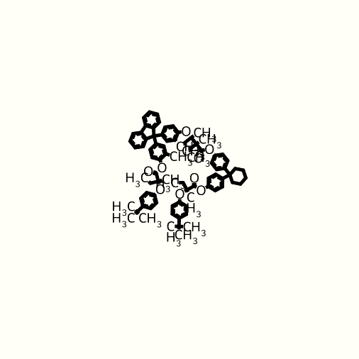 CCC(C)(Oc1ccc(C(C)(C)C)cc1)C(=O)Oc1ccc(C2(c3ccc(OC(=O)C(C)(CC)C(C)(CC)Oc4ccc(C5(c6ccc(OC(=O)C(C)(CC)Oc7ccc(C(C)(C)C)cc7)c(C)c6)c6ccccc6-c6ccccc65)cc4C)cc3)CCCCC2)cc1